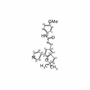 COc1ccc(NC(=O)/C=C/c2cc3c(c(-c4ccncc4)c2)OC(C)(C)C=C3)cc1